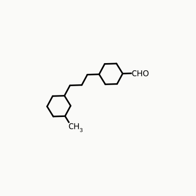 CC1CCCC(CCCC2CCC(C=O)CC2)C1